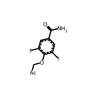 CC(=O)COc1c(I)cc(C(N)=O)cc1I